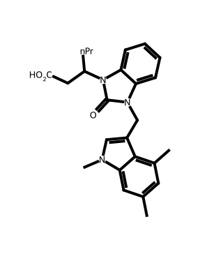 CCCC(CC(=O)O)n1c(=O)n(Cc2cn(C)c3cc(C)cc(C)c23)c2ccccc21